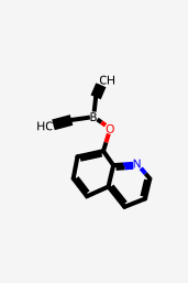 C#CB(C#C)Oc1cccc2cccnc12